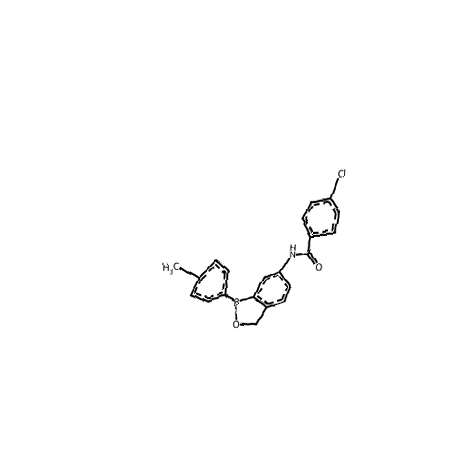 Cc1ccc(B2OCc3ccc(NC(=O)c4ccc(Cl)cc4)cc32)cc1